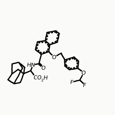 O=C(NC(C(=O)O)C12CC3CC(CC(C3)C1)C2)c1ccc2ccccc2c1OCc1ccc(OC(F)F)cc1